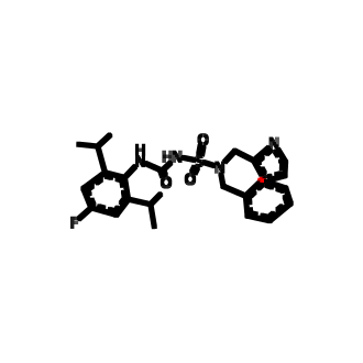 CC(C)c1cc(F)cc(C(C)C)c1NC(=O)NS(=O)(=O)N(Cc1ccccc1)Cc1nccs1